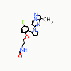 Cc1cnn2ccc(N3CCCC3c3cc(F)ccc3OCCCNC=O)nc12